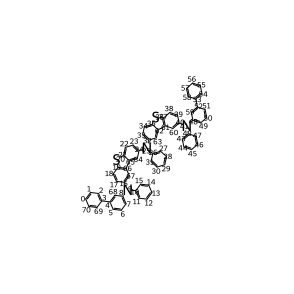 c1ccc(-c2cccc(N(c3ccccc3)c3ccc4sc5ccc(N(c6ccccc6)c6ccc7sc8ccc(N(c9ccccc9)c9cccc(-c%10ccccc%10)c9)cc8c7c6)cc5c4c3)c2)cc1